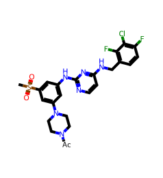 CC(=O)N1CCN(c2cc(Nc3nccc(NCc4ccc(F)c(Cl)c4F)n3)cc(S(C)(=O)=O)c2)CC1